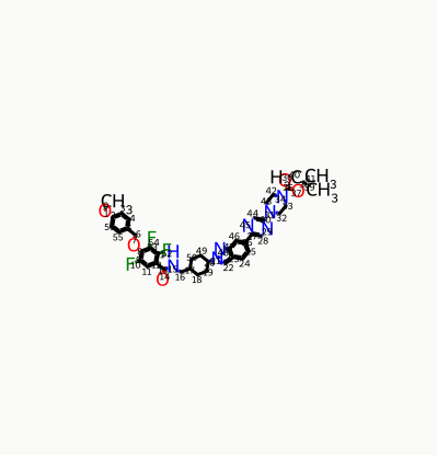 COc1ccc(COc2c(F)cc(C(=O)NCC3CCC(n4cc5ccc(-c6cnc(N7CCN(C(=O)OC(C)(C)C)CC7)cn6)cc5n4)CC3)c(F)c2F)cc1